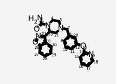 NC(=O)N1CCN(Cc2cccc(Oc3ccccn3)c2)CC1c1noc2ccccc12